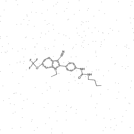 CCCCNC(=O)Nc1ccc(-c2c(C#N)c3ccc(OC(F)(F)F)cc3n2CC)cc1